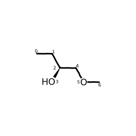 CC[C@H](O)COC